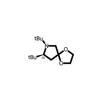 CC(C)(C)[C@@H]1CC2(CN1C(C)(C)C)OCCO2